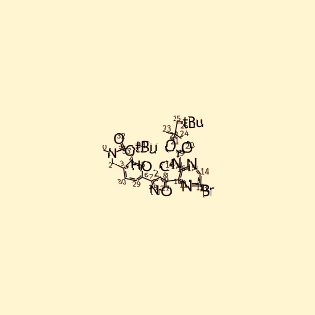 CN(Cc1ccc(-c2cc(-c3nc(Br)cnc3N(C(=O)O)C(=O)OC(C)(C)CC(C)(C)C)on2)cc1)C(=O)OC(C)(C)C